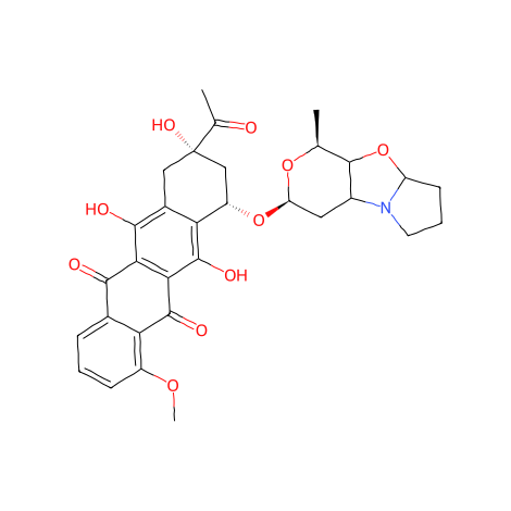 COc1cccc2c1C(=O)c1c(O)c3c(c(O)c1C2=O)C[C@@](O)(C(C)=O)C[C@@H]3O[C@@H]1CC2C(OC3CCCN32)[C@H](C)O1